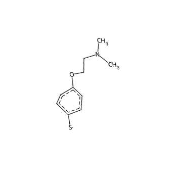 CN(C)CCOc1ccc([S])cc1